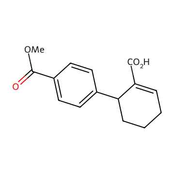 COC(=O)c1ccc(C2CCCC=C2C(=O)O)cc1